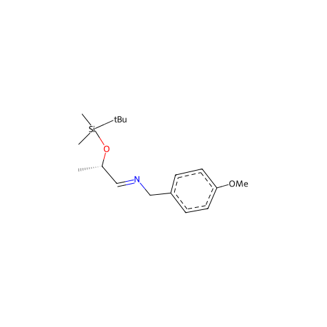 COc1ccc(C/N=C/[C@H](C)O[Si](C)(C)C(C)(C)C)cc1